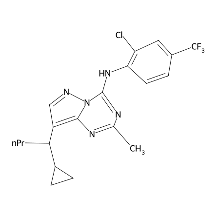 CCCC(c1cnn2c(Nc3ccc(C(F)(F)F)cc3Cl)nc(C)nc12)C1CC1